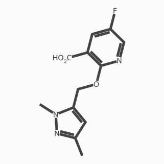 Cc1cc(COc2ncc(F)cc2C(=O)O)n(C)n1